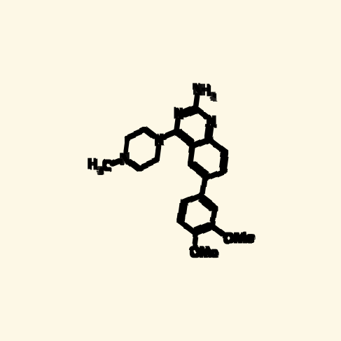 COc1ccc(-c2ccc3nc(N)nc(N4CCN(C)CC4)c3c2)cc1OC